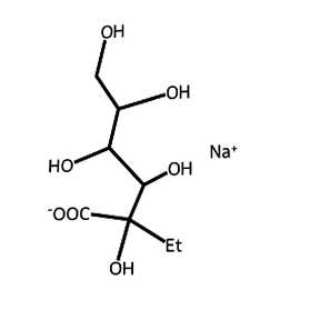 CCC(O)(C(=O)[O-])C(O)C(O)C(O)CO.[Na+]